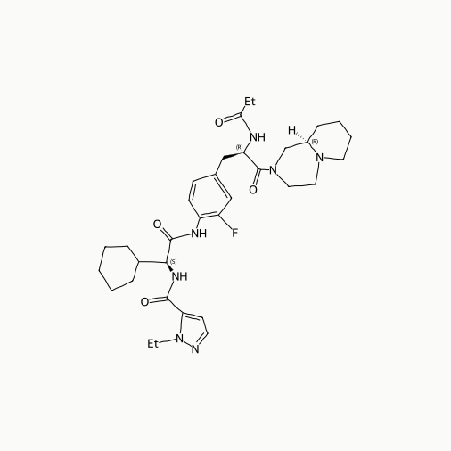 CCC(=O)N[C@H](Cc1ccc(NC(=O)[C@@H](NC(=O)c2ccnn2CC)C2CCCCC2)c(F)c1)C(=O)N1CCN2CCCC[C@@H]2C1